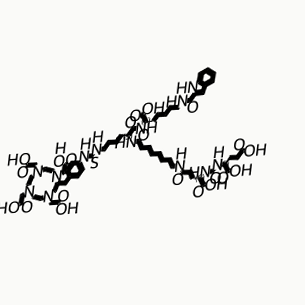 O=C(O)CC[C@H](NC(=O)N[C@@H](CCC(=O)NCCCCCCCC(=O)N[C@@H](CCCCNC(=S)Nc1ccc(CC2CN(CC(=O)O)CCN(CC(=O)O)CCN(CC(=O)O)CCN2CC(=O)O)cc1)C(=O)N[C@@H](CCCCCNC(=O)c1cc2ccccc2[nH]1)C(=O)O)C(=O)O)C(=O)O